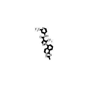 Cc1nc2c3cccc(-n4ncc(C(=O)Nc5ccnc(C(F)(F)F)c5)c4C(F)(F)F)c3ccn2n1